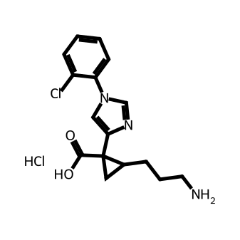 Cl.NCCCC1CC1(C(=O)O)c1cn(-c2ccccc2Cl)cn1